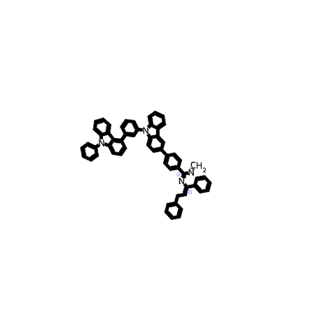 C=N/C(=N\C(=C/Cc1ccccc1)c1ccccc1)c1ccc(-c2ccc3c(c2)c2ccccc2n3-c2cccc(-c3cccc4c3c3ccccc3n4-c3ccccc3)c2)cc1